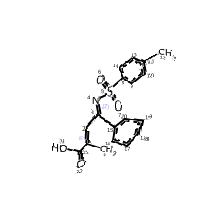 C/C(=C\C(=N\S(=O)(=O)c1ccc(C)cc1)c1ccccc1)C(=O)O